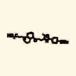 CSc1ccc(-c2nc(CCOc3cccc4c3CCCN4CCC(=O)O)c(C)o2)cc1